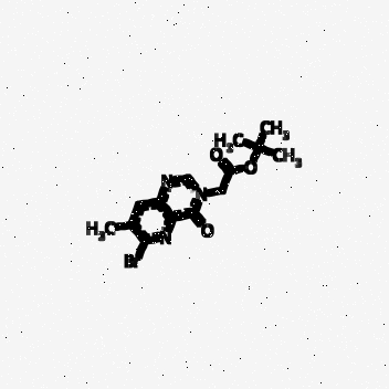 Cc1cc2ncn(CC(=O)OC(C)(C)C)c(=O)c2nc1Br